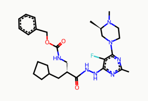 Cc1nc(NNC(=O)[C@@H](CNC(=O)OCc2ccccc2)CC2CCCC2)c(F)c(N2CCN(C)[C@H](C)C2)n1